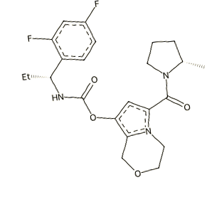 CC[C@@H](NC(=O)Oc1cc(C(=O)N2CCC[C@@H]2C)n2c1COCC2)c1ccc(F)cc1F